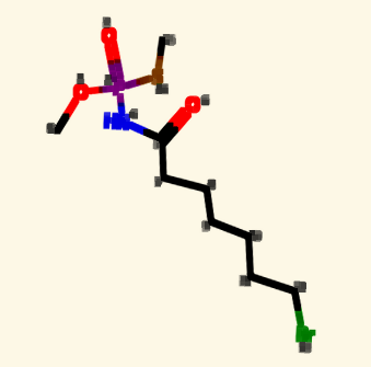 COP(=O)(NC(=O)CCCCCCBr)SC